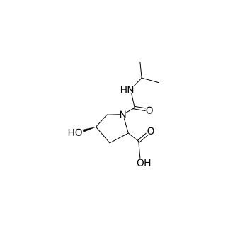 CC(C)NC(=O)N1C[C@H](O)CC1C(=O)O